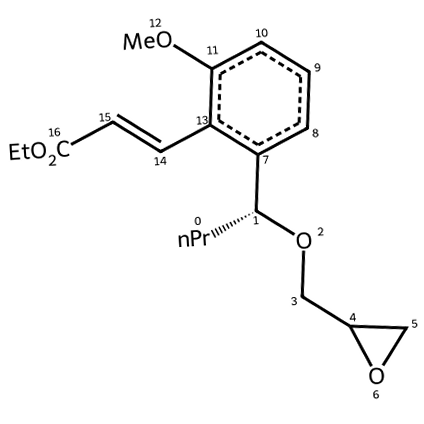 CCC[C@@H](OCC1CO1)c1cccc(OC)c1/C=C/C(=O)OCC